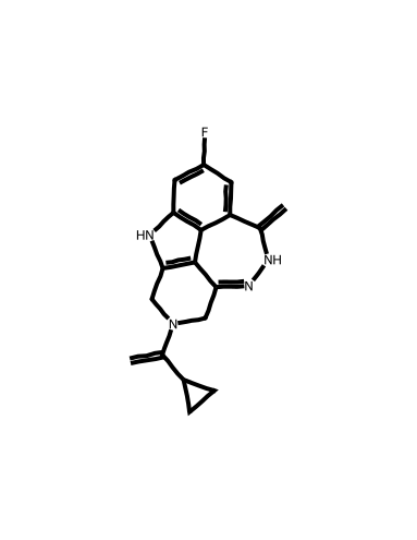 C=C(C1CC1)N1Cc2n[nH]c(=C)c3cc(F)cc4[nH]c(c2c43)C1